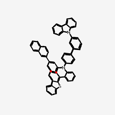 c1cc(-c2ccc3ccccc3c2)cc(N(c2ccc(-c3cccc(-n4c5ccccc5c5ccccc54)c3)cc2)c2ccccc2-c2cccc3c2sc2ccccc23)c1